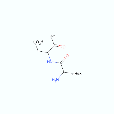 CCCCCCC(N)C(=O)NC(CC(=O)O)C(=O)C(C)C